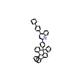 C1=CC(c2ccc(-c3ccccc3)cc2)=c2ccccc2=NC=1c1ccc(C2(c3ccccc3)c3ccccc3C3(c4ccccc4)c4ccccc4-c4cccc2c43)cc1